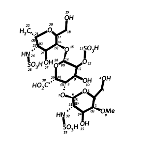 CO[C@@H]1C(CO)O[C@H](O[C@H]2C(O)C(OS(=O)(=O)O)[C@H](O[C@@H]3C(CO)O[C@@H](C)[C@@H](NS(=O)(=O)O)C3O)O[C@H]2C(=O)O)[C@@H](NS(=O)(=O)O)C1O